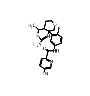 CC1SC(N)=NC2(c3cc(NC(=O)c4ccc(C#N)cn4)ccc3F)COCCC12